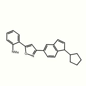 CNc1ccccc1-c1cc(-c2ccc3c(c2)C=CC3C2CCCC2)no1